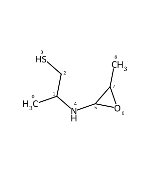 CC(CS)NC1OC1C